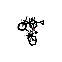 O=C(Nc1cccc(C(F)(F)F)c1)N1C2CCC1CC(NCc1c(-c3ccccc3OC(F)(F)F)noc1C1CC1)C2